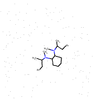 CC(C)CC(C)N(C)C1CCCCC1N(C)C(C)CC(C)C